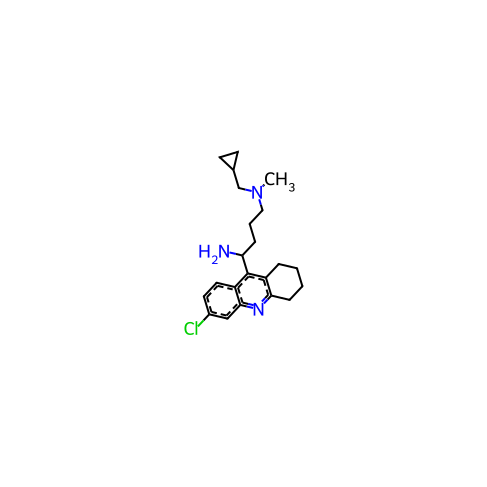 CN(CCCC(N)c1c2c(nc3cc(Cl)ccc13)CCCC2)CC1CC1